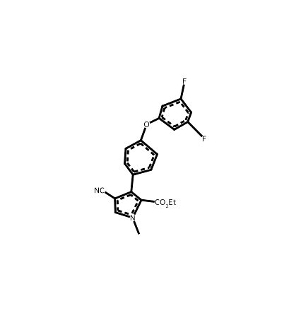 CCOC(=O)c1c(-c2ccc(Oc3cc(F)cc(F)c3)cc2)c(C#N)cn1C